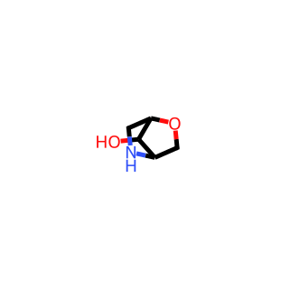 OC1C2COC1CN2